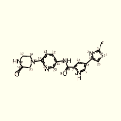 Cc1nc(-c2c[nH]c(C(=O)Nc3ccc(N4CCNC(=O)C4)nc3)c2)cs1